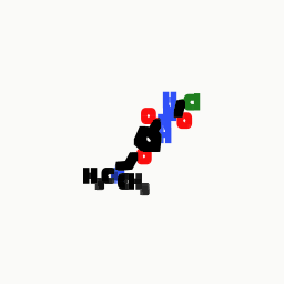 CN(C)CCCOc1ccc(C(=O)NNC(=O)CCl)cc1